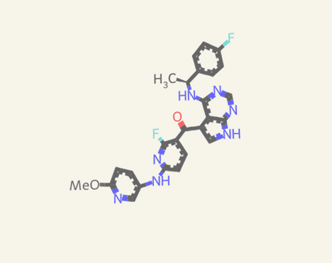 COc1ccc(Nc2ccc(C(=O)c3c[nH]c4ncnc(N[C@@H](C)c5ccc(F)cc5)c34)c(F)n2)cn1